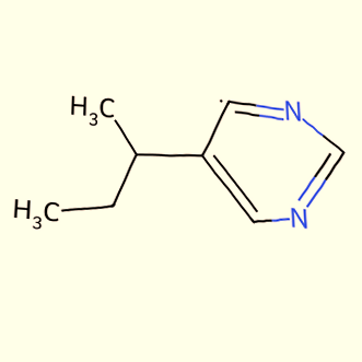 CCC(C)c1[c]ncnc1